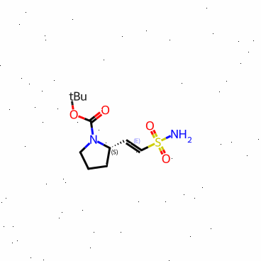 CC(C)(C)OC(=O)N1CCC[C@H]1/C=C/S(N)(=O)=O